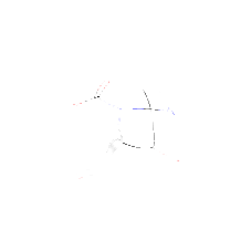 CC1(N)C(O)C(=C=O)N1C(=O)O